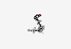 CC(C)[C@H](NC(=O)CCCC(=O)NCCC(=O)N1Cc2ccccc2C#Cc2ccccc21)C(=O)N[C@@H](C)C(=O)NCCNC(=O)OCC(C)(C)C